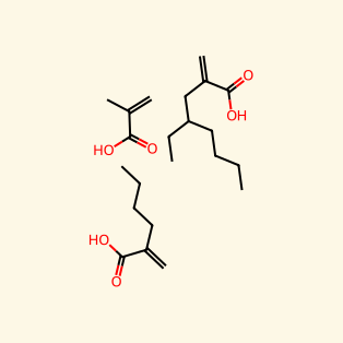 C=C(C)C(=O)O.C=C(CC(CC)CCCC)C(=O)O.C=C(CCCC)C(=O)O